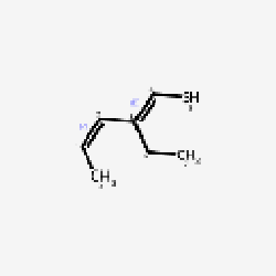 C/C=C\C(=C\S)CC